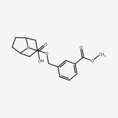 COC(=O)c1cccc(COC2CC3CCC(C2)N3C(=O)O)c1